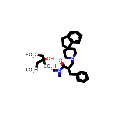 CN(C)C(=O)C(Cc1ccccc1)CN1CCC2(CCc3ccccc32)CC1.O=C(O)CC(O)(CC(=O)O)C(=O)O